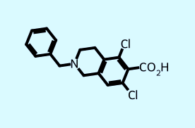 O=C(O)c1c(Cl)cc2c(c1Cl)CCN(Cc1ccccc1)C2